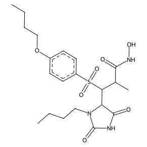 CCCCOc1ccc(S(=O)(=O)C(C(C)C(=O)NO)C2C(=O)NC(=O)N2CCCC)cc1